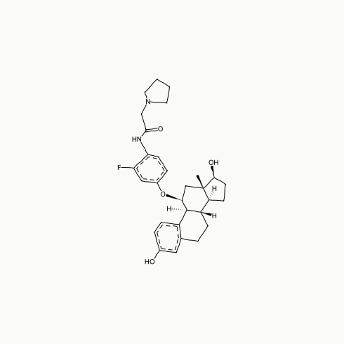 C[C@]12C[C@H](Oc3ccc(NC(=O)CN4CCCC4)c(F)c3)[C@@H]3c4ccc(O)cc4CC[C@H]3[C@@H]1CC[C@@H]2O